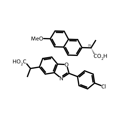 CC(C(=O)O)c1ccc2oc(-c3ccc(Cl)cc3)nc2c1.COc1ccc2cc([C@H](C)C(=O)O)ccc2c1